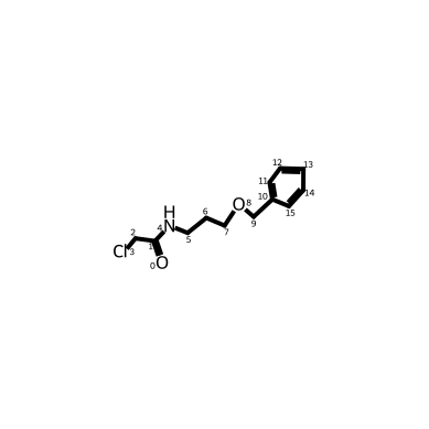 O=C(CCl)NCCCOCc1ccccc1